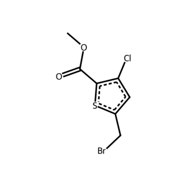 COC(=O)c1sc(CBr)cc1Cl